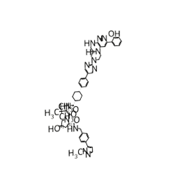 Cn1nccc1-c1ccc(CNC(=O)[C@@H]2C[C@@H](O)CN2C(=O)[C@@H](NC(=O)[C@H]2CC[C@@H](c3ccc(-c4cnc(N5CCN6c7cc(-c8ccccc8O)nnc7NC[C@H]6C5)nc4)cc3)CC2)C(C)(C)C)cc1